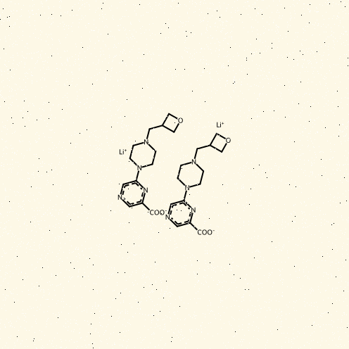 O=C([O-])c1cncc(N2CCN(CC3COC3)CC2)n1.O=C([O-])c1cncc(N2CCN(CC3COC3)CC2)n1.[Li+].[Li+]